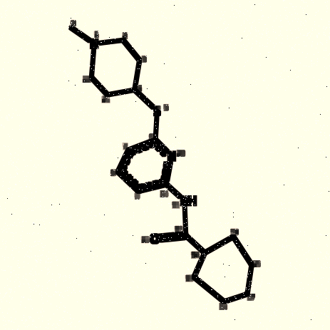 CN1CCC(Sc2cccc(NC(=O)C3CCCCC3)n2)CC1